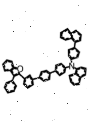 c1ccc(-c2c(-c3cccc(-c4ccc(-c5ccc(N(c6ccc(-c7cccc8ccccc78)cc6)c6cccc7ccccc67)cc5)cc4)c3)oc3ccccc23)cc1